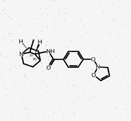 C[C@H]1[C@H](NC(=O)c2ccc(ON3CC=CO3)cc2)C2CCN1CC2